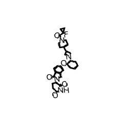 O=C1CCC(N2Cc3cc(O[C@H]4CCCC[C@H]4N4CC(C5CCN(C(=O)C6(F)CC6)CC5)C4)ccc3C2=O)C(=O)N1